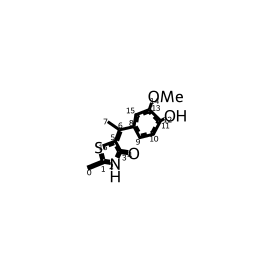 C=c1[nH]c(=O)/c(=C(/C)c2ccc(O)c(OC)c2)s1